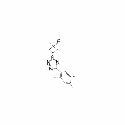 Cc1cc(C)c(-c2nnn(C3CC(C)(F)C3)n2)cc1C